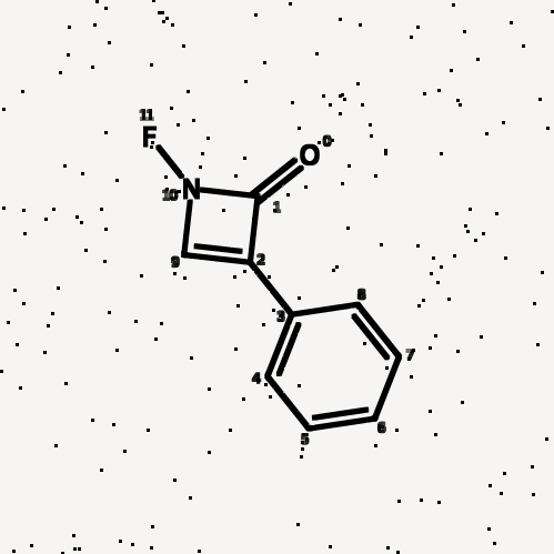 O=C1C(c2ccccc2)=CN1F